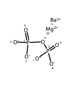 O=P([O-])([O-])OP(=O)([O-])[O-].[Ba+2].[Mg+2]